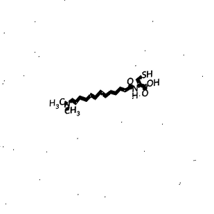 CN(C)CCCCCCCCCCCCC(=O)NC(CS)C(=O)O